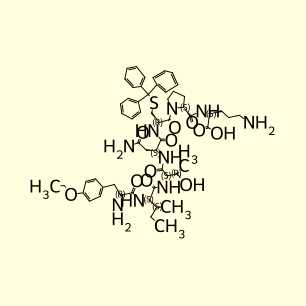 CCOc1ccc(C[C@@H](N)C(=O)N[C@H](C(=O)N[C@H](C(=O)N[C@@H](CC(N)=O)C(=O)N[C@@H](CSC(c2ccccc2)(c2ccccc2)c2ccccc2)C(=O)N2CCC[C@H]2C(=O)N[C@@H](CCCN)C(=O)O)[C@@H](C)O)[C@@H](C)CC)cc1